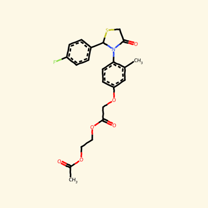 CC(=O)OCCOC(=O)COc1ccc(N2C(=O)CSC2c2ccc(F)cc2)c(C)c1